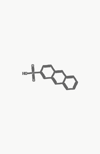 O=S(=O)(O)c1[c]c2cc3ccccc3cc2cc1